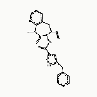 C=C[C@@H]1Cc2cccnc2N(C)C(=O)[C@@H]1NC(=O)c1cc(Cc2ccccc2)[nH]n1